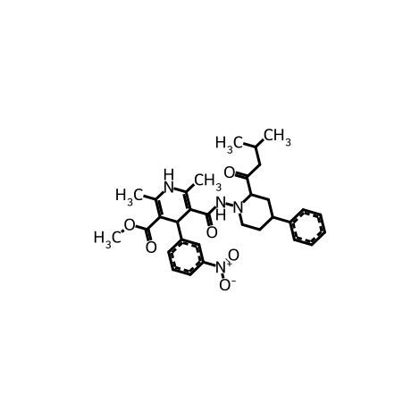 COC(=O)C1=C(C)NC(C)=C(C(=O)NN2CCC(c3ccccc3)CC2C(=O)CC(C)C)C1c1cccc([N+](=O)[O-])c1